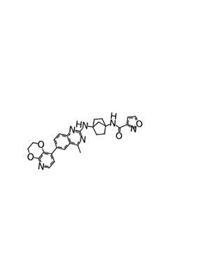 Cc1nc(NC23CCC(NC(=O)c4ccon4)(CC2)C3)nc2ccc(-c3ccnc4c3OCCO4)cc12